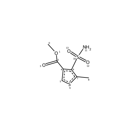 COC(=O)c1csc(C)c1S(N)(=O)=O